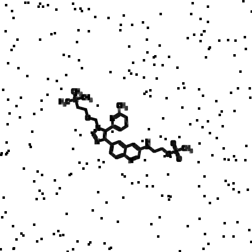 Cc1cccc(-c2c(-c3ccc4ncc(NCCOS(C)(=O)=O)cc4c3)ncn2COCC[Si](C)(C)C)n1